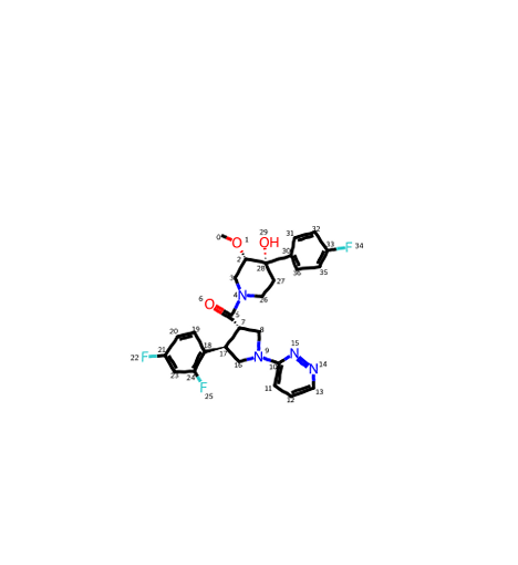 CO[C@H]1CN(C(=O)[C@@H]2CN(c3cccnn3)C[C@H]2c2ccc(F)cc2F)CC[C@]1(O)c1ccc(F)cc1